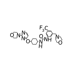 O=C(Nc1cc(CN2CCOCC2)cc(C(F)(F)F)c1)N[C@H]1CC[C@H](Oc2ccnc(N3CCOCC3)n2)CC1